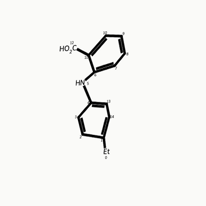 CCc1ccc(Nc2ccccc2C(=O)O)cc1